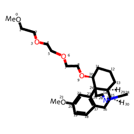 COCCOCCOCCO[C@H]1CCC[C@H]2[C@H]3Cc4ccc(OC)cc4C12CCN3C